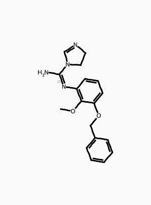 COc1c(/N=C(/N)N2C=NCC2)cccc1OCc1ccccc1